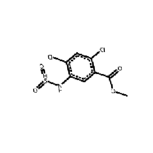 COC(=O)c1cc(N[SH](=O)=O)c(Cl)cc1Cl